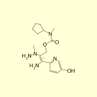 CN(N)/C(COC(=O)N(C)C1CCCC1)=C(\N)c1ccc(O)cn1